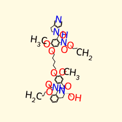 C=CCOC(=O)Nc1cc(OCCCCCOc2cc(NC(=O)OCC=C)c(C(=O)N3Cc4ccccc4C[C@H]3CO)cc2OC)c(OC)cc1C(=O)N1CCc2cnccc21